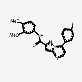 COc1ccc(NC(=O)c2cc3nccc(-c4ccc(F)cc4)n3n2)cc1OC